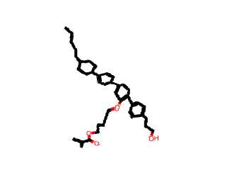 C=C(C)C(=O)OCCCCOc1cc(-c2ccc(C3CCC(CCCCC)CC3)cc2)ccc1-c1ccc(CCCO)cc1